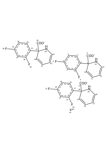 O=C([O-])C1(c2ccc(F)cc2F)C=CC=CN1.O=C([O-])C1(c2ccc(F)cc2F)C=CC=CN1.O=C([O-])C1(c2ccc(F)cc2F)C=CC=CN1.[Ir+3]